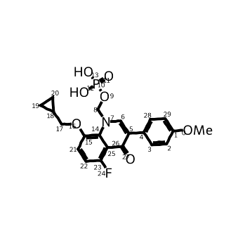 COc1ccc(-c2cn(COP(=O)(O)O)c3c(OCC4CC4)ccc(F)c3c2=O)cc1